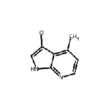 Cc1ccnc2[nH]cc(Cl)c12